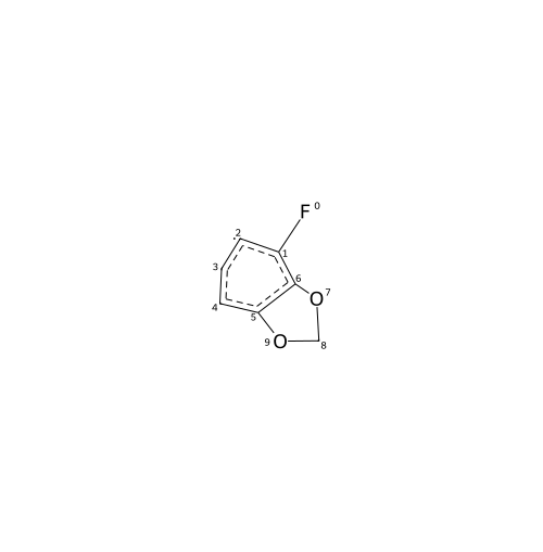 Fc1[c]ccc2c1OCO2